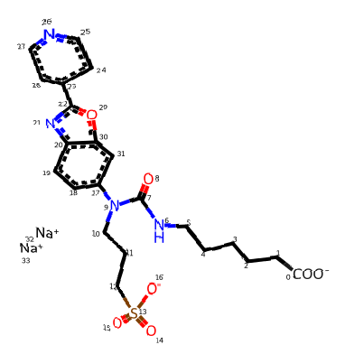 O=C([O-])CCCCCNC(=O)N(CCCS(=O)(=O)[O-])c1ccc2nc(-c3ccncc3)oc2c1.[Na+].[Na+]